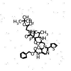 CC(C)C(NC(=O)Cn1c(-c2cccs2)ncc(NC(=O)OCc2ccccc2)c1=O)C(=O)C(F)(F)C(=O)NCC(=O)OC(C)(C)C